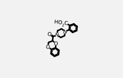 O=C(O)c1ccccc1N1CCN(C(=O)C2COc3ccccc3O2)CC1